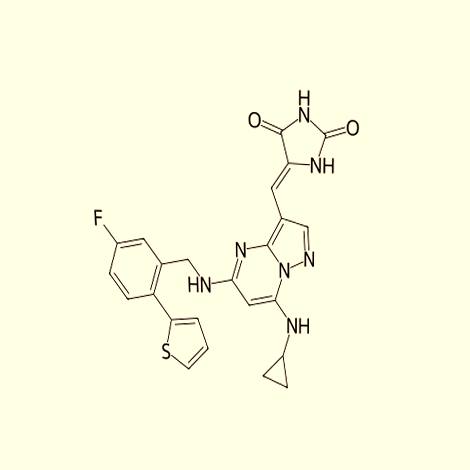 O=C1NC(=O)C(=Cc2cnn3c(NC4CC4)cc(NCc4cc(F)ccc4-c4cccs4)nc23)N1